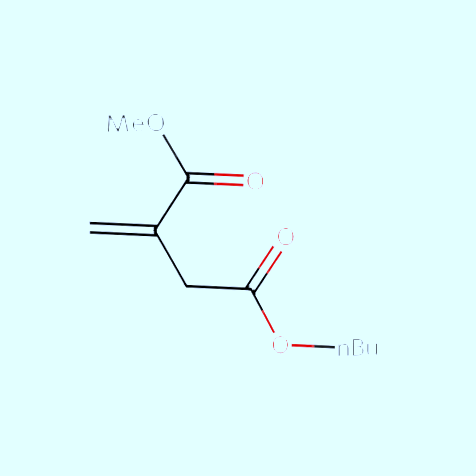 C=C(CC(=O)OCCCC)C(=O)OC